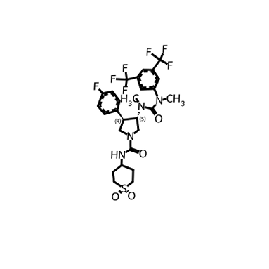 CN(C(=O)N(C)[C@@H]1CN(C(=O)NC2CCS(=O)(=O)CC2)C[C@H]1c1ccc(F)cc1)c1cc(C(F)(F)F)cc(C(F)(F)F)c1